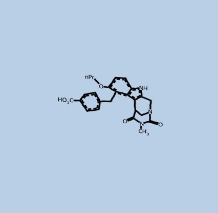 CCCOc1ccc2[nH]c3c(c2c1Cc1ccc(C(=O)O)cc1)C1CN(C3)C(=O)N(C)C1=O